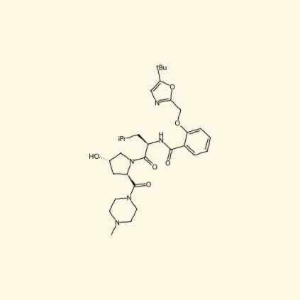 CC(C)C[C@@H](NC(=O)c1ccccc1OCc1ncc(C(C)(C)C)o1)C(=O)N1C[C@@H](O)C[C@@H]1C(=O)N1CCN(C)CC1